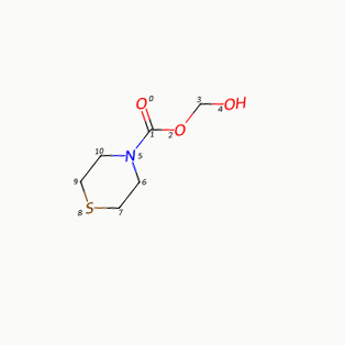 O=C(OCO)N1CCSCC1